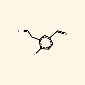 C=CCc1cc(C=O)ccc1F